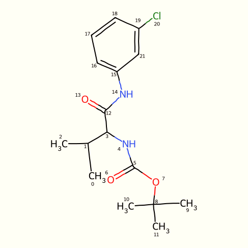 CC(C)C(NC(=O)OC(C)(C)C)C(=O)Nc1cccc(Cl)c1